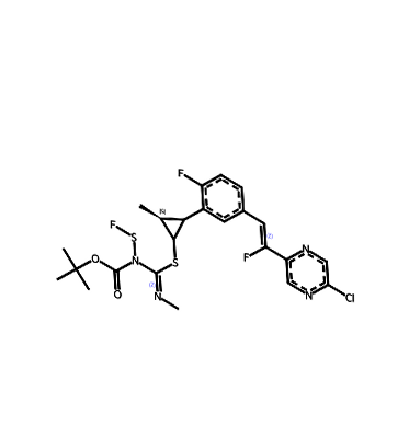 C/N=C(\SC1C(c2cc(/C=C(\F)c3cnc(Cl)cn3)ccc2F)[C@@H]1C)N(SF)C(=O)OC(C)(C)C